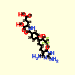 Nc1nc(N)c(CCCC(c2ccc(C(=O)N[C@H](CCC(=O)O)C(=O)O)cc2)C(O)C(F)(F)F)c(=O)[nH]1